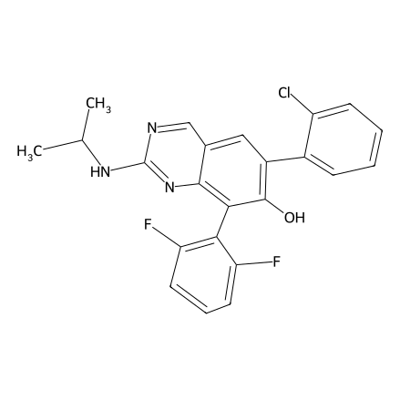 CC(C)Nc1ncc2cc(-c3ccccc3Cl)c(O)c(-c3c(F)cccc3F)c2n1